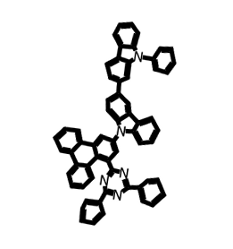 c1ccc(-c2nc(-c3ccccc3)nc(-c3cc(-n4c5ccccc5c5cc(-c6ccc7c8ccccc8n(-c8ccccc8)c7c6)ccc54)cc4c5ccccc5c5ccccc5c34)n2)cc1